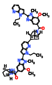 CCCn1c(-c2nc3cc(C(=O)N4C[C@H]5C(c6ccc7cc(-c8nc9cc(C(=O)N%10C[C@@H]%11CC[C@H]%10[C@H]%11N)cc(OC)c9n8C)n(CCC)c7n6)C6C[C@@H]4[C@H]65)cc(OC)c3n2C)cc2cccnc21